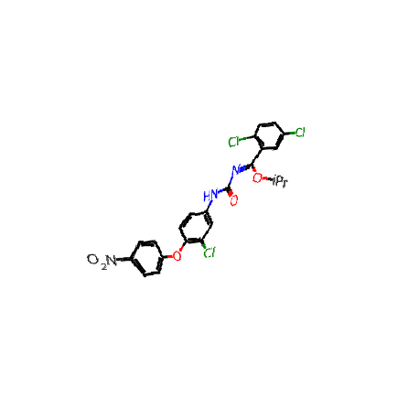 CC(C)OC(=NC(=O)Nc1ccc(Oc2ccc([N+](=O)[O-])cc2)c(Cl)c1)c1cc(Cl)ccc1Cl